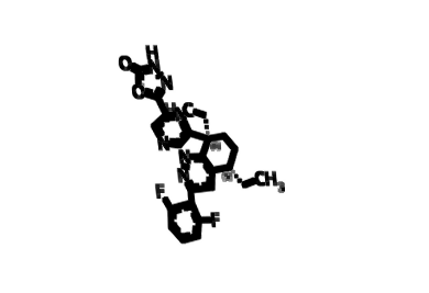 CC[C@H]1CC[C@](CC)(c2cncc(-c3n[nH]c(=O)o3)n2)c2nnc(-c3c(F)cccc3F)cc21